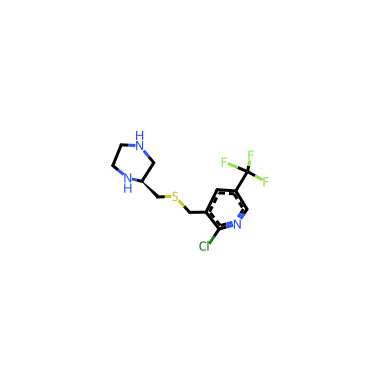 FC(F)(F)c1cnc(Cl)c(CSC[C@@H]2CNCCN2)c1